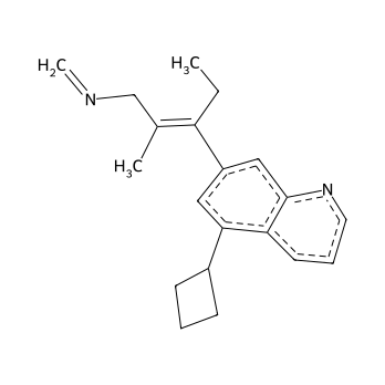 C=NC/C(C)=C(\CC)c1cc(C2CCC2)c2cccnc2c1